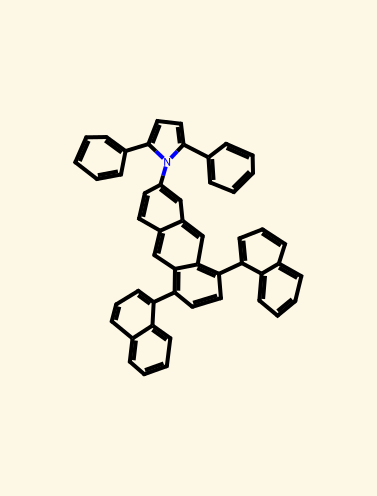 c1ccc(-c2ccc(-c3ccccc3)n2-c2ccc3cc4c(-c5cccc6ccccc56)ccc(-c5cccc6ccccc56)c4cc3c2)cc1